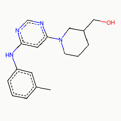 Cc1cccc(Nc2cc(N3CCCC(CO)C3)ncn2)c1